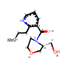 COCCc1ncccc1C(=O)N1CCOC[C@H]1CO